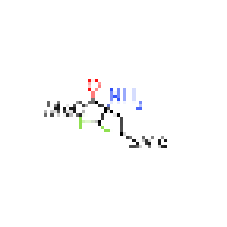 COC(=O)C(N)(CCSC)C(F)F